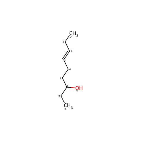 CC/C=C/CCC(O)CC